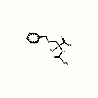 C[C@](CSCc1ccccc1)(NC(N)=O)C(=O)O